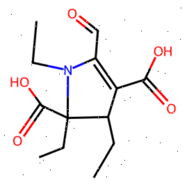 CCC1C(C(=O)O)=C(C=O)N(CC)C1(CC)C(=O)O